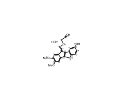 C#CCO/N=C1/c2cc(OC)c(OC)cc2-c2[nH]c3ccc(O)cc3c21.Cl